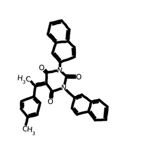 CC(=C1C(=O)N(c2ccc3ccccc3c2)C(=O)N(c2ccc3ccccc3c2)C1=O)c1ccc(C)cc1